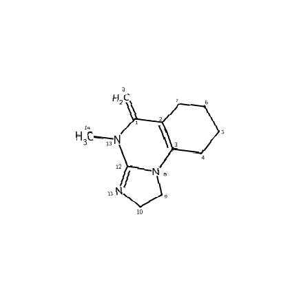 C=C1C2=C(CCCC2)N2CCN=C2N1C